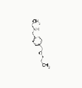 CCCOCc1ccc(CNCC)cc1